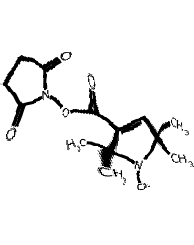 CC1(C)C=C(C(=O)ON2C(=O)CCC2=O)C(C)(C)N1[O]